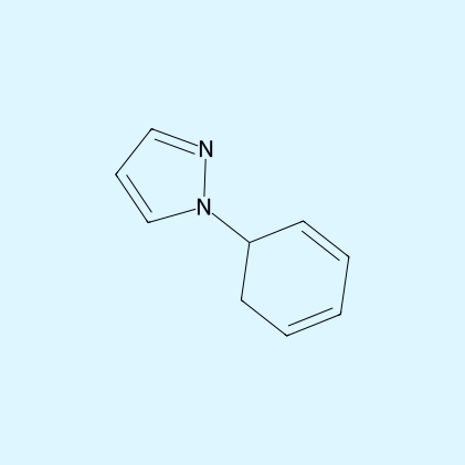 C1=CCC(n2cccn2)C=C1